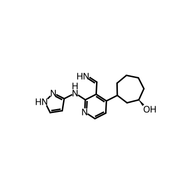 N=Cc1c(C2CCCC[C@@H](O)C2)ccnc1Nc1cc[nH]n1